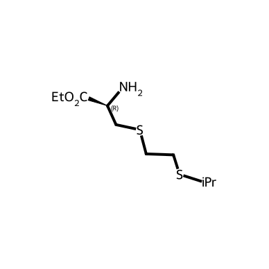 CCOC(=O)[C@@H](N)CSCCSC(C)C